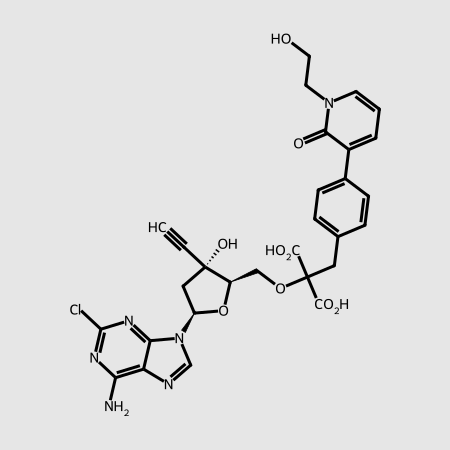 C#C[C@]1(O)C[C@H](n2cnc3c(N)nc(Cl)nc32)O[C@@H]1COC(Cc1ccc(-c2cccn(CCO)c2=O)cc1)(C(=O)O)C(=O)O